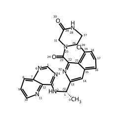 C[C@H](Nc1ncnc2cccnc12)c1cc2cccc(Cl)c2c(C(=O)N2CCNC(=O)C2)n1